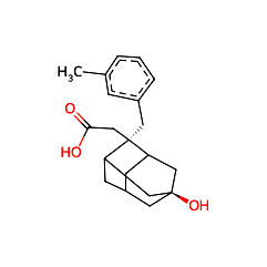 Cc1cccc(C[C@]2(CC(=O)O)C3CC4CC2C[C@@](O)(C4)C3)c1